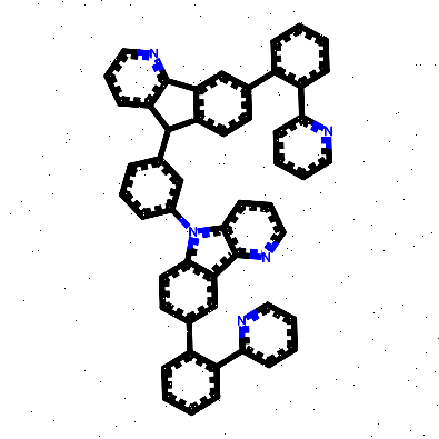 c1ccc(-c2ccccc2-c2ccc3c(c2)-c2ncccc2C3c2cccc(-n3c4ccc(-c5ccccc5-c5ccccn5)cc4c4ncccc43)c2)nc1